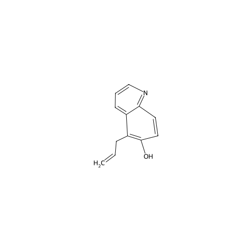 C=CCc1c(O)ccc2ncccc12